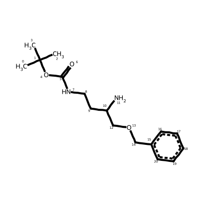 CC(C)(C)OC(=O)NCCC(N)COCc1ccccc1